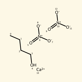 CCCCO.O=[N+]([O-])[O-].O=[N+]([O-])[O-].[Ca+2]